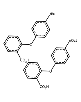 CC(C)(C)c1ccc(Oc2ccccc2C(=O)O)cc1.CCCCCCCCc1ccc(Oc2ccccc2C(=O)O)cc1